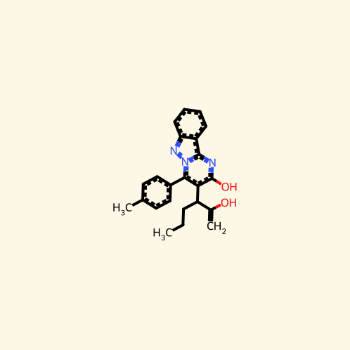 C=C(O)C(CCC)c1c(O)nc2c3ccccc3nn2c1-c1ccc(C)cc1